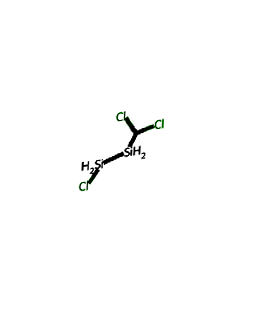 Cl[SiH2][SiH2]C(Cl)Cl